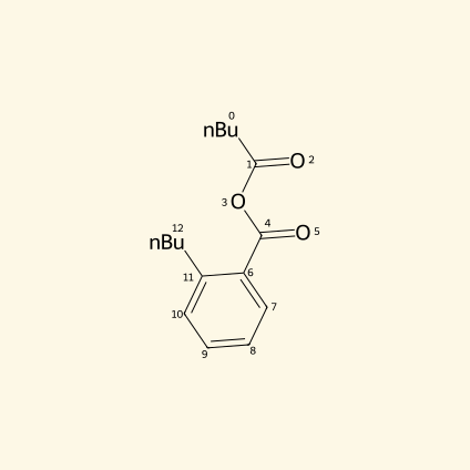 CCCCC(=O)OC(=O)c1ccccc1CCCC